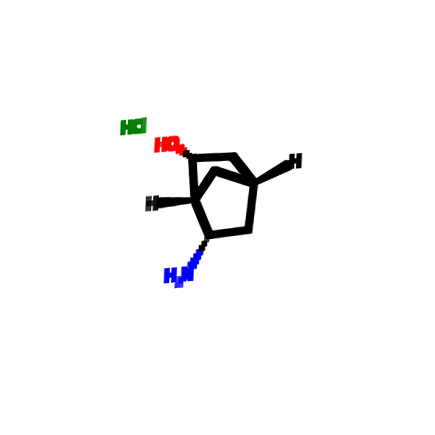 Cl.N[C@H]1C[C@@H]2C[C@H]1[C@H](O)C2